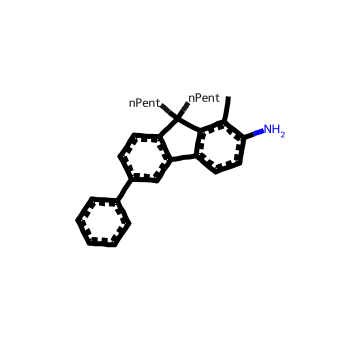 CCCCCC1(CCCCC)c2ccc(-c3ccccc3)cc2-c2ccc(N)c(C)c21